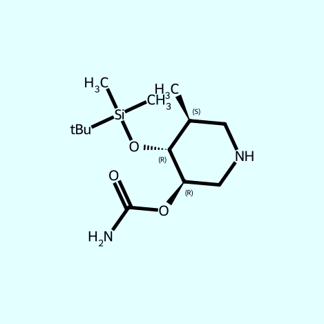 C[C@H]1CNC[C@@H](OC(N)=O)[C@@H]1O[Si](C)(C)C(C)(C)C